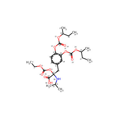 CCOC(=O)O[C@](Cc1ccc(OC(=O)OC(C)CC)c(OC(=O)OC(C)CC)c1)(NC(C)C)C(=O)O